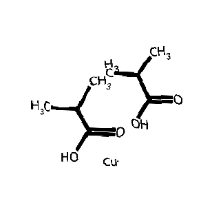 CC(C)C(=O)O.CC(C)C(=O)O.[Cu]